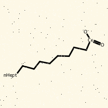 CCCCCCCCCCCCCC[CH2][Ce](=[O])[O-]